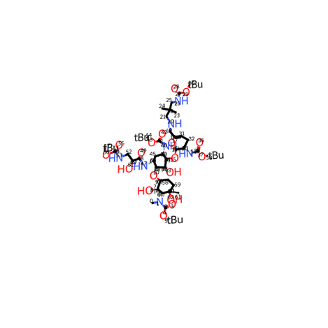 CN(C(=O)OC(C)(C)C)[C@@H]1[C@@H](O)[C@@H](O[C@@H]2[C@@H](O)[C@H](O[C@H]3OC(CNCC(C)(C)CNC(=O)OC(C)(C)C)=CC[C@H]3NC(=O)OC(C)(C)C)[C@@H](NC(=O)OC(C)(C)C)C[C@H]2NC(=O)[C@@H](O)CNC(=O)OC(C)(C)C)CC[C@]1(C)O